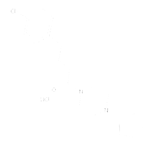 Cl.O=C(CCCc1ccc(Cl)cc1)N1CCN(C2CCCC2)CC1